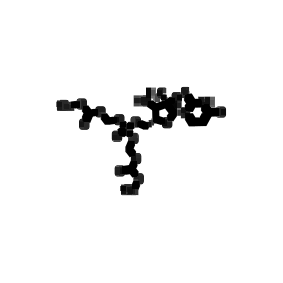 CC(C)(C)OC(=O)OCOP(=O)(OCOC(=O)OC(C)(C)C)OC[C@H]1O[C@@H](n2ccc(=O)[nH]c2=S)[C@](C)(O)C1O